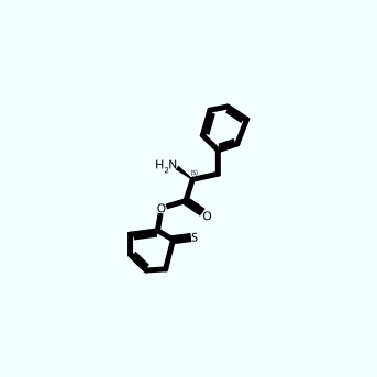 N[C@@H](Cc1ccccc1)C(=O)OC1=CC=CCC1=S